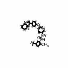 Cc1ccc(C(F)(F)F)cc1NC(=O)Nc1cnc(Oc2ccc(-c3cnc4cccnn34)cc2)nc1